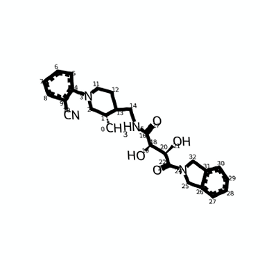 C[C@@H]1CN(c2ccccc2C#N)CCC1CNC(=O)[C@H](O)[C@@H](O)C(=O)N1Cc2ccccc2C1